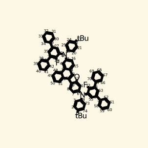 CC(C)(C)c1ccc(N(c2ccc3c(c2)oc2c4ccc(N(c5ccc(C(C)(C)C)cc5)c5cc(-c6ccccc6)cc(-c6ccccc6)c5F)cc4c4ccccc4c32)c2cc(-c3ccccc3)cc(-c3ccccc3)c2F)cc1